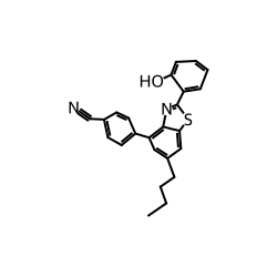 CCCCc1cc(-c2ccc(C#N)cc2)c2nc(-c3ccccc3O)sc2c1